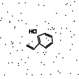 C=Cc1ccccc1.Cl